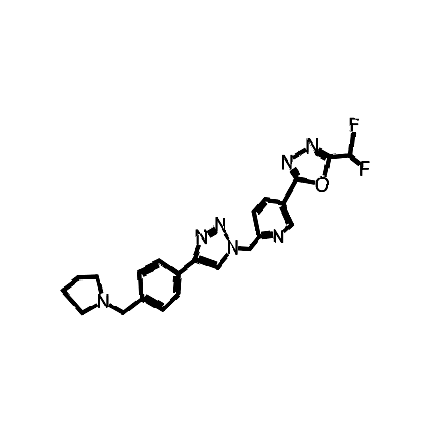 FC(F)c1nnc(-c2ccc(Cn3cc(-c4ccc(CN5CCCC5)cc4)nn3)nc2)o1